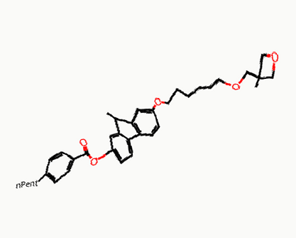 CCCCCc1ccc(C(=O)Oc2ccc3c(c2)C(C)c2cc(OCCCCCCOCC4(C)COC4)ccc2-3)cc1